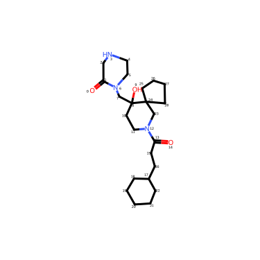 O=C1CNCCN1CC1(O)CCN(C(=O)CCC2CCCCC2)CC12CCCC2